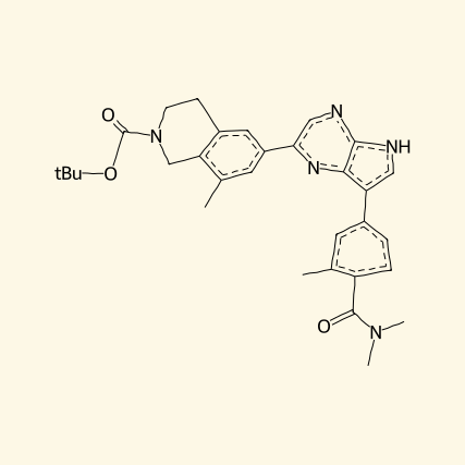 Cc1cc(-c2c[nH]c3ncc(-c4cc(C)c5c(c4)CCN(C(=O)OC(C)(C)C)C5)nc23)ccc1C(=O)N(C)C